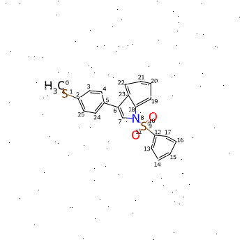 CSc1ccc(-c2cn(S(=O)(=O)c3ccccc3)c3ccccc23)cc1